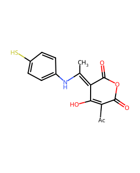 CC(=O)C1=C(O)C(=C(C)Nc2ccc(S)cc2)C(=O)OC1=O